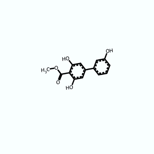 COC(=O)c1c(O)cc(-c2cccc(O)c2)cc1O